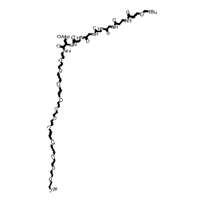 COCCOCCOCCOCCOCCOCCOCCOCCOCCOCCOCCOCCNC(=O)C(COC)NC(=O)CNC(=O)CNC(=O)CNC(=O)CNC(=O)CCNC(=O)CCOCC(C)(C)C